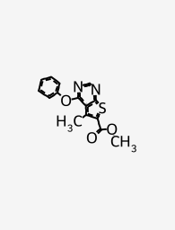 COC(=O)c1sc2ncnc(Oc3ccccc3)c2c1C